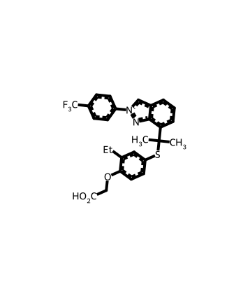 CCc1cc(SC(C)(C)c2cccc3cn(-c4ccc(C(F)(F)F)cc4)nc23)ccc1OCC(=O)O